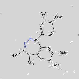 COc1ccc(C2=NN=C(C)C(C)c3cc(OC)c(OC)cc32)cc1OC